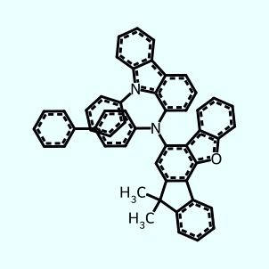 CC1(C)c2ccccc2-c2c1cc(N(c1ccc(-c3ccccc3)cc1)c1cccc3c4ccccc4n(-c4ccccc4)c13)c1c2oc2ccccc21